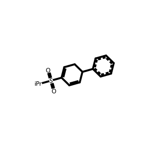 CC(C)S(=O)(=O)C1=CCC(c2ccccc2)C=C1